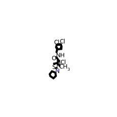 CN1/C(=N/C2CCCCC2)SCC1CC(=O)NCc1ccc(Cl)c(Cl)c1.Cl